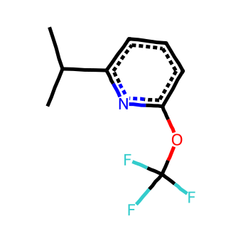 CC(C)c1cccc(OC(F)(F)F)n1